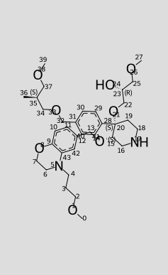 COCCCN1CCOc2ccc(CO[C@H]3CNCC[C@]3(OC[C@H](O)COC)c3ccc(COC[C@@H](C)COC)cc3)cc21